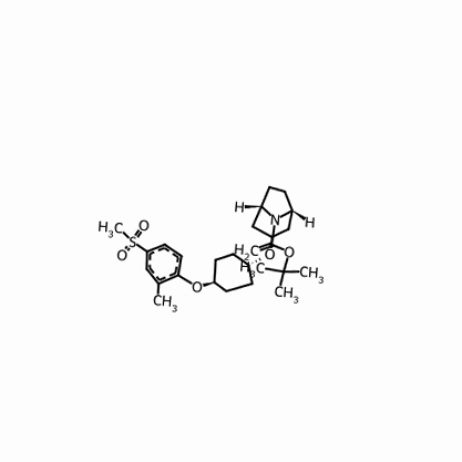 C=C(OC(C)(C)C)N1[C@@H]2CC[C@H]1C[C@H](O[C@H]1CC[C@H](Oc3ccc(S(C)(=O)=O)cc3C)CC1)C2